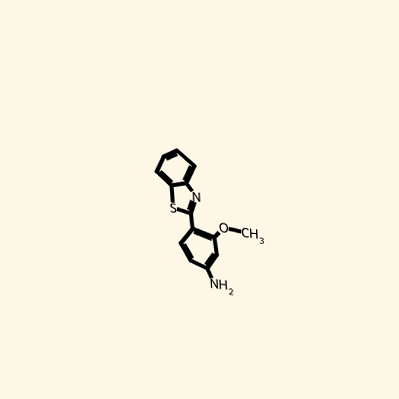 COc1cc(N)ccc1-c1nc2ccccc2s1